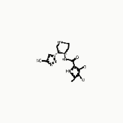 Cc1[nH]c(C(=O)N[C@@H]2CCNC[C@H]2n2cc(C#N)nn2)c(Cl)c1Cl